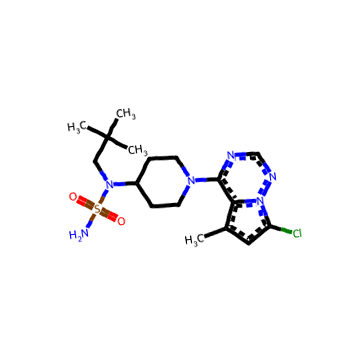 Cc1cc(Cl)n2ncnc(N3CCC(N(CC(C)(C)C)S(N)(=O)=O)CC3)c12